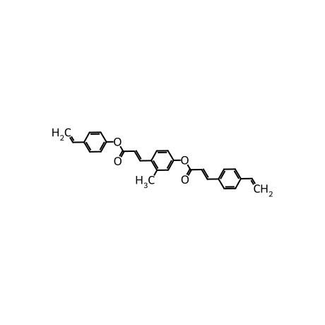 C=Cc1ccc(/C=C/C(=O)Oc2ccc(/C=C/C(=O)Oc3ccc(C=C)cc3)c(C)c2)cc1